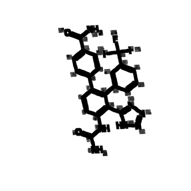 NC(=O)Nc1ccc(-c2ccc(C(N)=O)cc2)c(-c2cccc(C(F)(F)F)c2)c1-c1nnn[nH]1